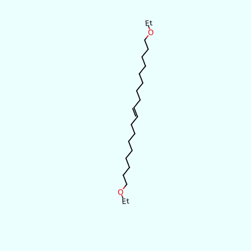 CCOCCCCCCCCC=CCCCCCCCCOCC